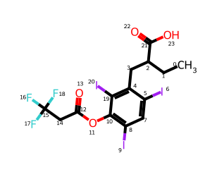 CCC(Cc1c(I)cc(I)c(OC(=O)CC(F)(F)F)c1I)C(=O)O